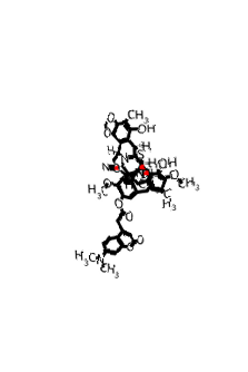 COc1cc2c(cc1OC(=O)Cc1cc(=O)oc3cc(N(C)C)ccc13)CCN[C@]21CS[C@@H]2c3c(O)c(C)c4c(c3[C@H](COC1=O)N1C2[C@H]2c3c(cc(C)c(OC)c3O)C[C@@H]([C@@H]1C#N)N2C)OCO4